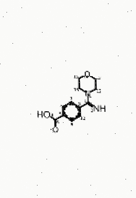 N=C(c1ccc(C(=O)O)cc1)N1CCOCC1